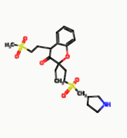 C1CCNC1.CCC1(CCS(C)(=O)=O)Oc2ccccc2C(CCS(C)(=O)=O)C1=O